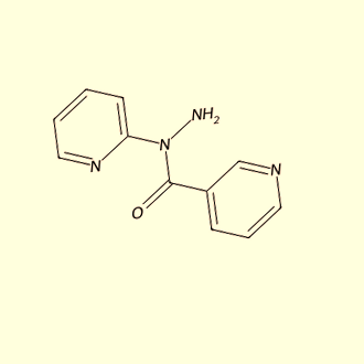 NN(C(=O)c1cccnc1)c1ccccn1